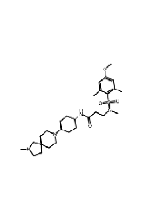 COc1cc(C)c(S(=O)(=O)N(C)CCC(=O)N[C@H]2CC[C@H](N3CCC4(CCN(C)C4)CC3)CC2)c(C)c1